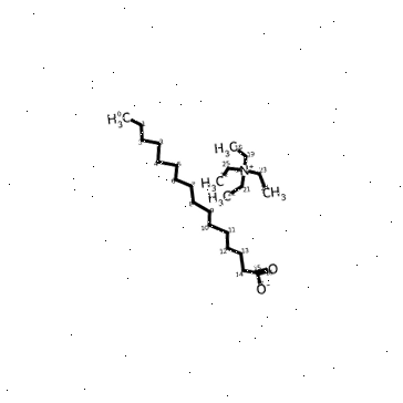 CCCCCCCCCCCCCCCC(=O)[O-].CC[N+](CC)(CC)CC